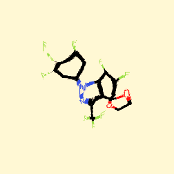 F[C@@H]1[C@H](F)CC(n2nc(C(F)(F)F)c3c2[C@@H](F)[C@@H](F)C32OCCO2)C[C@@H]1F